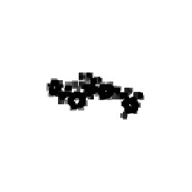 COc1ccc(F)cc1C(=O)NCc1ccc(-c2nn([C@H]3CCCC[C@@H](N(C)C(=O)n4cncn4)C3)c(N)c2C(N)=O)cc1